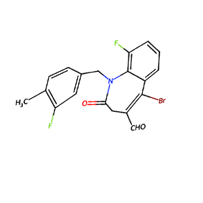 Cc1ccc(CN2C(=O)CC(C=O)=C(Br)c3cccc(F)c32)cc1F